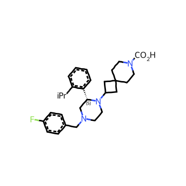 CC(C)c1ccccc1[C@H]1CN(Cc2ccc(F)cc2)CCN1C1CC2(CCN(C(=O)O)CC2)C1